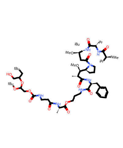 CC[C@H](C)[C@H](NC(=O)[C@@H](NC(=O)[C@@H](NC)C(C)C)C(C)C)[C@@H](CC(=O)N1CCC[C@H]1[C@H](OC)[C@@H](C)C(=O)N[C@@H](Cc1ccccc1)C(=O)NCCCOC(=O)[C@H](C)NC(=O)CCNC(=O)OCC(OC(CO)CC(C)(C)C)OC(C)(C)C)OC